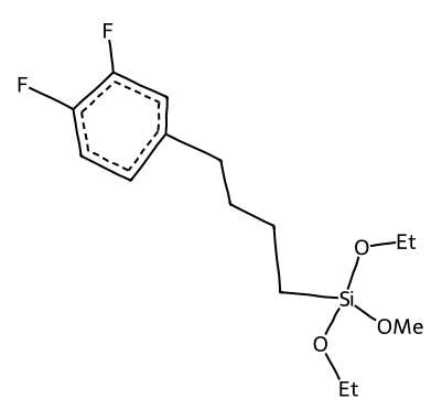 CCO[Si](CCCCc1ccc(F)c(F)c1)(OC)OCC